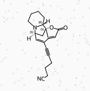 N#CCCCC#CC1=C[C@@H]2C[C@@]3(OC(=O)C=C13)[C@H]1CCCCN21